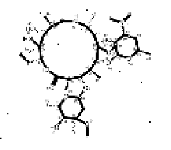 CC[C@H]1OC(=O)[C@H](C)[C@@H](O[C@H]2C[C@@](C)(OC)[C@@H](O)[C@H](C)O2)[C@H](C)[C@@H](O[C@@H]2O[C@H](C)C[C@H](N(C)C)[C@H]2O)[C@](C)(OC)C[C@@H](C)NC[C@H](C)[C@@H](O)[C@]1(C)O